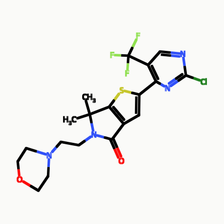 CC1(C)c2sc(-c3nc(Cl)ncc3C(F)(F)F)cc2C(=O)N1CCN1CCOCC1